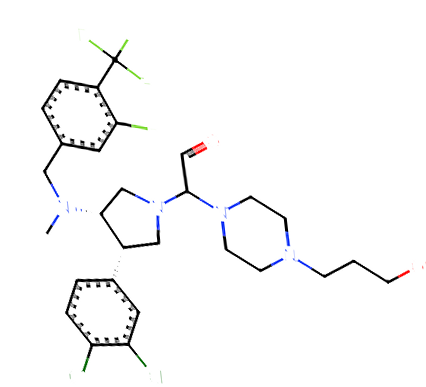 CN(Cc1ccc(C(F)(F)F)c(F)c1)[C@@H]1CN(C(C=O)N2CCN(CCCO)CC2)C[C@@H]1c1ccc(Cl)c(Cl)c1